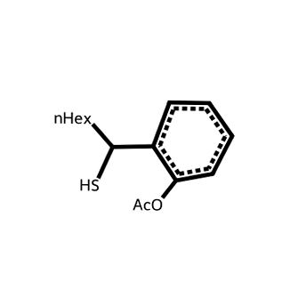 CCCCCCC(S)c1ccccc1OC(C)=O